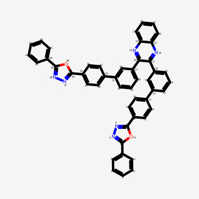 c1ccc(-c2nnc(-c3ccc(-c4cccc(-c5nc6ccccc6nc5-c5cccc(-c6ccc(-c7nnc(-c8ccccc8)o7)cc6)c5)c4)cc3)o2)cc1